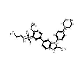 COc1ncc(-c2ccc3nc(N)n(-c4ccc(N5CCOCC5)cc4)c3c2)cc1S(=O)(=O)NCCO